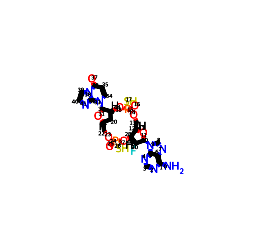 Nc1ncnc2c1ncn2[C@@H]1O[C@@H]2CO[P@@](=O)(S)O[C@@H]3C[C@@H](CO[P@](=O)(S)O[C@H]2[C@@H]1F)O[C@H]3n1ccc(=O)n2ccnc12